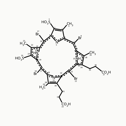 CC1=C(S(=O)(=O)O)c2nc1c(Br)c1[nH]c(c(Br)c3nc(c(Br)c4[nH]c(c(C)c4S(=O)(=O)O)c2Br)C(C)=C3CCC(=O)O)c(CCC(=O)O)c1C